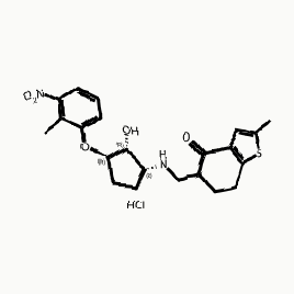 Cc1cc2c(s1)CCC(CN[C@@H]1CC[C@@H](Oc3cccc([N+](=O)[O-])c3C)[C@@H]1O)C2=O.Cl